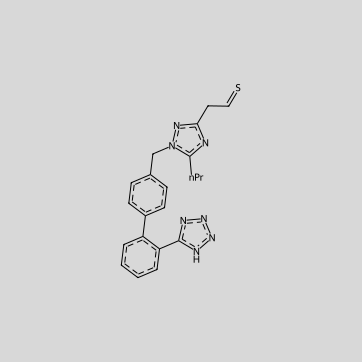 CCCc1nc(CC=S)nn1Cc1ccc(-c2ccccc2-c2nnn[nH]2)cc1